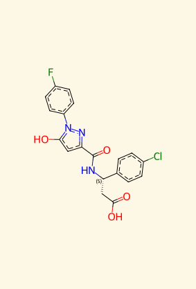 O=C(O)C[C@H](NC(=O)c1cc(O)n(-c2ccc(F)cc2)n1)c1ccc(Cl)cc1